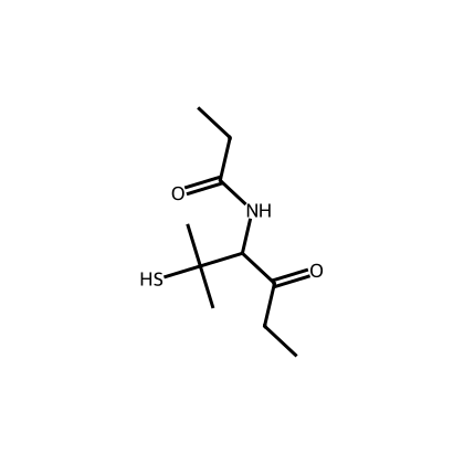 CCC(=O)NC(C(=O)CC)C(C)(C)S